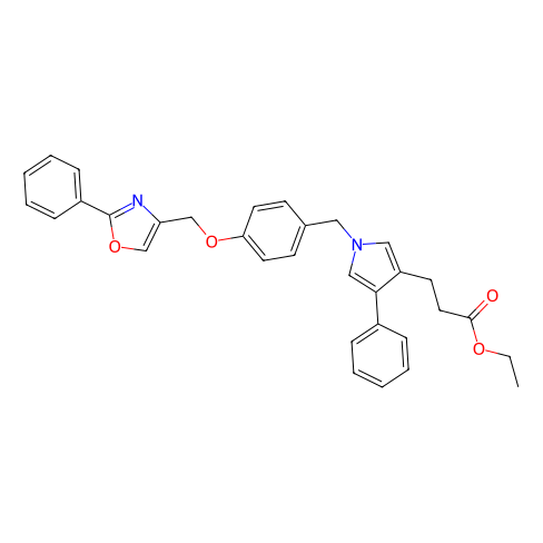 CCOC(=O)CCc1cn(Cc2ccc(OCc3coc(-c4ccccc4)n3)cc2)cc1-c1ccccc1